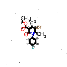 CCOC(=O)c1c(C)c(Br)c(C)n(-c2ccc(F)cc2)c1=O